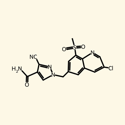 CS(=O)(=O)c1cc(Cn2cc(C(N)=O)c(C#N)n2)cc2cc(Cl)cnc12